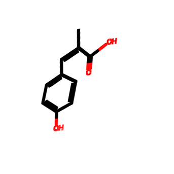 CC(=Cc1ccc(O)cc1)C(=O)O